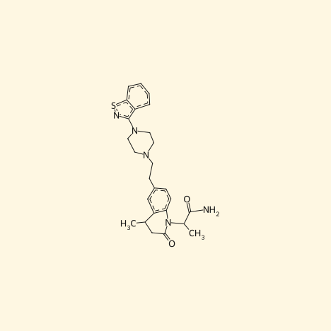 CC1CC(=O)N(C(C)C(N)=O)c2ccc(CCN3CCN(c4nsc5ccccc45)CC3)cc21